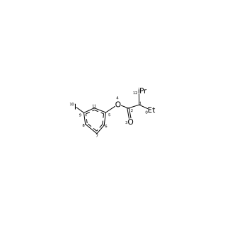 CCC(C(=O)Oc1cccc(I)c1)C(C)C